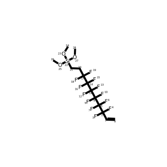 C=CC(F)(F)C(F)(F)C(F)(F)C(F)(F)C(F)(F)C(F)(F)CC[Si](OC)(OC)OC